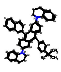 CC(C)(C)c1ccc(-c2c3ccc(N4CCCc5ccccc54)cc3c(-c3ccc4ccccc4c3)c3ccc(N4CCCc5ccccc54)cc23)cc1